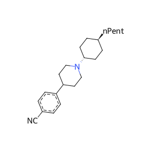 CCCCC[C@H]1CC[C@H](N2CCC(c3ccc(C#N)cc3)CC2)CC1